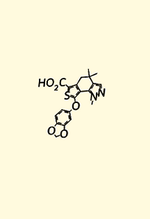 Cn1ncc2c1-c1c(Oc3ccc4c(c3)OCO4)sc(C(=O)O)c1CC2(C)C